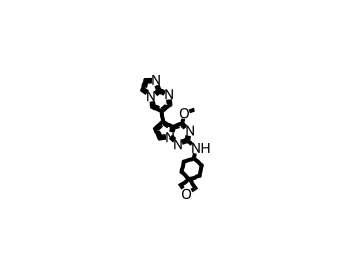 COc1nc(NC2CCC3(CC2)COC3)nn2ccc(-c3cnc4nccn4c3)c12